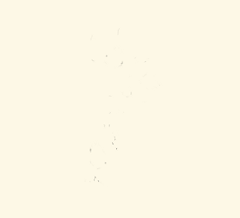 O=C1OC2(c3ccccc31)c1cc(F)c(O)c(F)c1Oc1c2cc(F)c(OSOOc2ccc([N+](=O)[O-])cc2[N+](=O)[O-])c1F